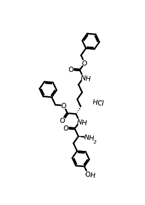 Cl.N[C@@H](Cc1ccc(O)cc1)C(=O)N[C@@H](CCCCNC(=O)OCc1ccccc1)C(=O)OCc1ccccc1